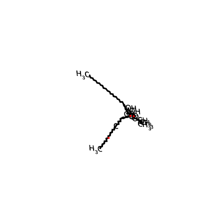 CCCCCCCCCCCCCCCCCCCCCCC#CC#CC(=O)C(OP(=O)([O-])OCC[N+](C)(C)C)(C(=O)C#CC#CCCCCCCCCCCCCCCCCCCCCCC)[C@@H](O)CO